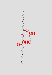 CCCCCCCC(=O)OCCOC(=O)CCCCCCC.OCCO